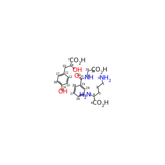 NCCC[C@H](N)C(=O)O.O=C(O)C(O)Cc1ccc(O)cc1.O=C(O)CNC(=O)c1ccccc1